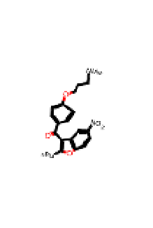 CCCCc1oc2ccc([N+](=O)[O-])cc2c1C(=O)c1ccc(OCCCNC)cc1